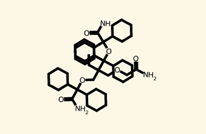 CCC(COCC(N)=O)(COC(C(N)=O)(C1CCCCC1)C1CCCCC1)C(OC(C(N)=O)(C1CCCCC1)C1CCCCC1)(C1CCCCC1)C1CCCCC1